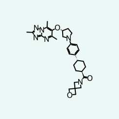 Cc1nc2nc(C)c(O[C@@H]3CCN(c4ccc([C@H]5CC[C@H](C(=O)N6CC7(COC7)C6)CC5)cc4)C3)c(C)n2n1